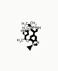 C[C@@H](Oc1cc(/C(C=N)=C/NC(C)(C)C)cc2ncn(C3CC3)c12)[C@H]1CNC(=O)C1